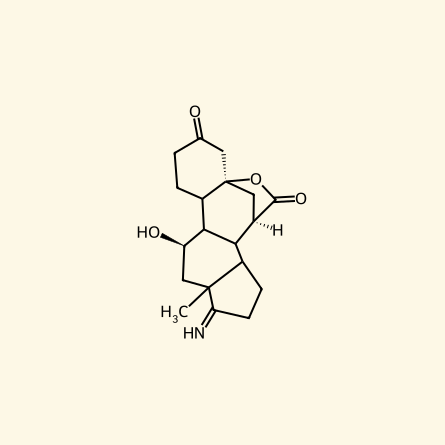 CC12C[C@@H](O)C3C(C1CCC2=N)[C@H]1C[C@]2(CC(=O)CCC32)OC1=O